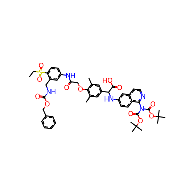 CCS(=O)(=O)c1ccc(NC(=O)COc2c(C)cc(C(Nc3ccc4c(N(C(=O)OC(C)(C)C)C(=O)OC(C)(C)C)nccc4c3)C(=O)O)cc2C)cc1CNC(=O)OCc1ccccc1